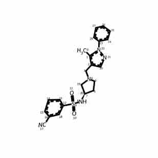 Cc1c(CN2CC[C@@H](NS(=O)(=O)c3cccc(C#N)c3)C2)cnn1-c1ccccc1